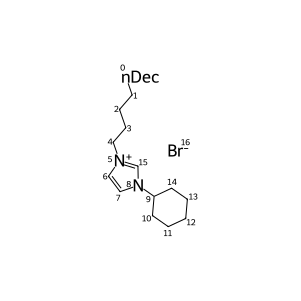 CCCCCCCCCCCCCC[n+]1ccn(C2CCCCC2)c1.[Br-]